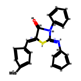 CSc1ccc(/C=C2\S/C(=N\c3ccccc3)N(c3ccccc3)C2=O)cc1